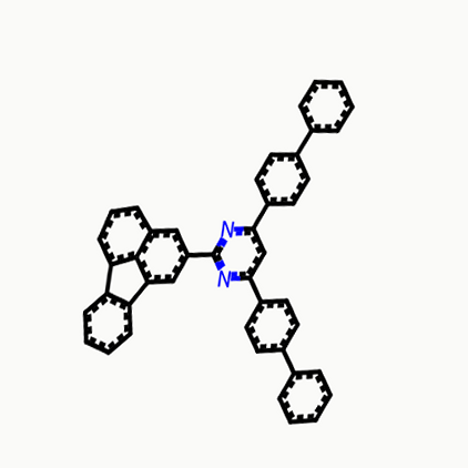 c1ccc(-c2ccc(-c3cc(-c4ccc(-c5ccccc5)cc4)nc(-c4cc5c6c(cccc6c4)-c4ccccc4-5)n3)cc2)cc1